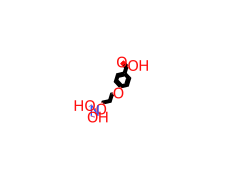 O=C(O)c1ccc(OCCCON(O)O)cc1